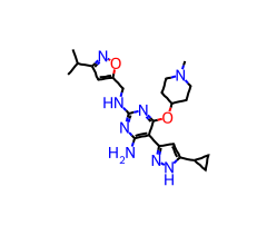 CC(C)c1cc(CNc2nc(N)c(-c3cc(C4CC4)[nH]n3)c(OC3CCN(C)CC3)n2)on1